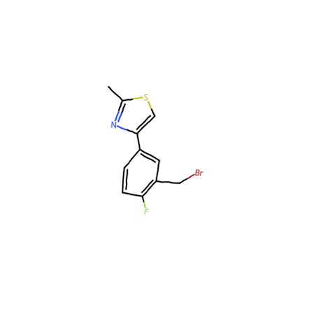 Cc1nc(-c2ccc(F)c(CBr)c2)cs1